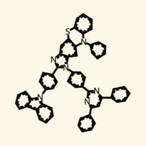 c1ccc(-c2cc(-c3ccccc3)nc(-c3ccc(-n4c(-c5ccc(-n6c7ccccc7c7ccccc76)cc5)nc5cc6c(cc54)N(c4ccccc4)c4ccccc4S6)cc3)n2)cc1